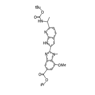 COc1cc(C(=O)OC(C)C)cc2nc(-c3cc4ccc(C(C)NC(=O)OC(C)(C)C)nc4[nH]3)n(C)c12